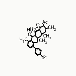 CC(=O)C1C(=O)[C@]2(C)C(C)=C3C(=O)c4c(C)ccc(-c5ccc(C(C)C)cc5)c4C[C@]3(C)C[C@]2(C)CC1C